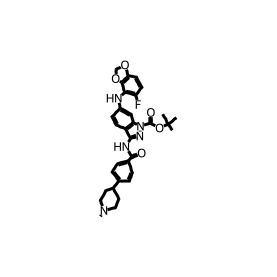 CN1CCC(c2ccc(C(=O)Nc3nn(C(=O)OC(C)(C)C)c4cc(Nc5c(F)ccc6c5OCO6)ccc34)cc2)CC1